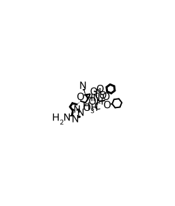 C[C@H](N[P@@](=O)(Oc1ccccc1)OC1[C@@]2(C#N)O[C@@H](c3ccc4c(N)ncnn34)[C@H](O)[C@@]12O)C(=O)OC1CCCCC1